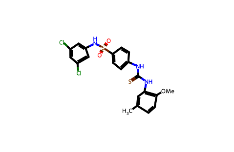 COc1ccc(C)cc1NC(=S)Nc1ccc(S(=O)(=O)Nc2cc(Cl)cc(Cl)c2)cc1